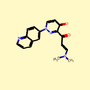 CN(C)C=CC(=O)c1nn(-c2ccc3ncccc3c2)ccc1=O